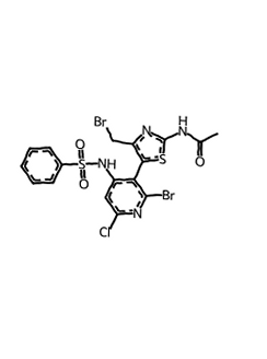 CC(=O)Nc1nc(CBr)c(-c2c(NS(=O)(=O)c3ccccc3)cc(Cl)nc2Br)s1